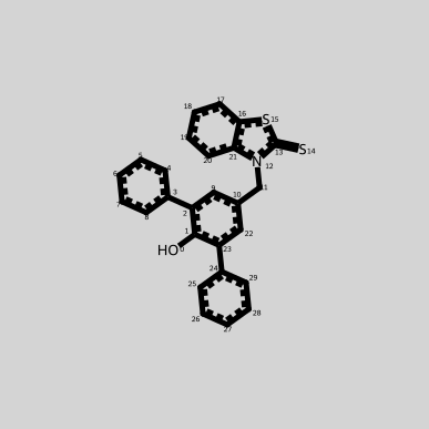 Oc1c(-c2ccccc2)cc(Cn2c(=S)sc3ccccc32)cc1-c1ccccc1